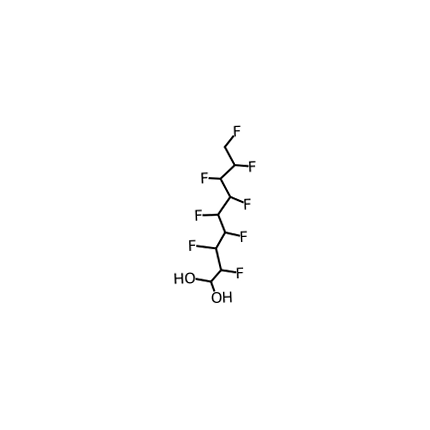 OC(O)C(F)C(F)C(F)C(F)C(F)C(F)C(F)CF